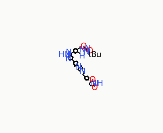 Cc1cc(-c2n[nH]c3ncc(-c4ccc(N5CCN(CCc6ccc([C@H]7CCC(=O)NC7=O)cc6)CC5)cc4)cc23)ccc1[C@@H](C)NC(=O)c1noc(C(C)(C)C)n1